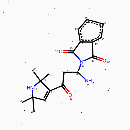 CC1(C)C=C(C(=O)CC(N)N2C(=O)c3ccccc3C2=O)C(C)(C)N1